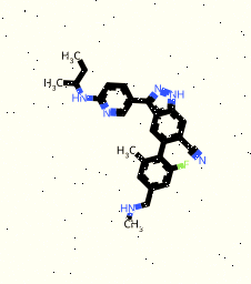 CCC(C)Nc1ccc(-c2n[nH]c3cc(C#N)c(-c4c(C)cc(CNC)cc4F)cc23)cn1